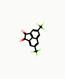 O=C1C(=O)c2cc(C(F)(F)F)cc3cc(C(F)(F)F)cc1c23